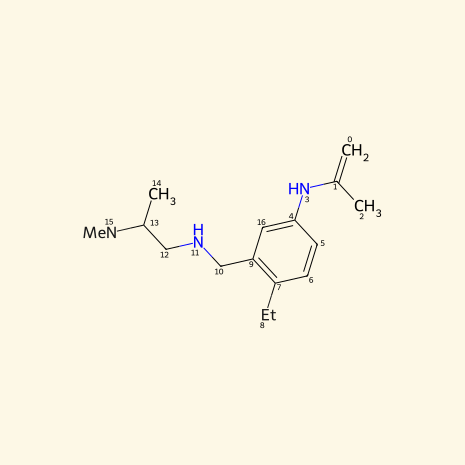 C=C(C)Nc1ccc(CC)c(CNCC(C)NC)c1